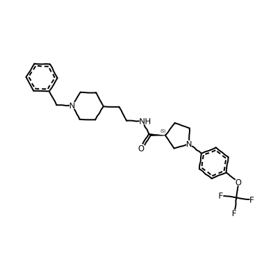 O=C(NCCC1CCN(Cc2ccccc2)CC1)[C@H]1CCN(c2ccc(OC(F)(F)F)cc2)C1